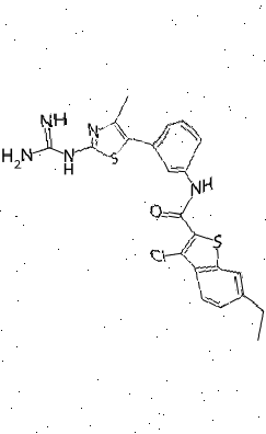 CCc1ccc2c(Cl)c(C(=O)Nc3cccc(-c4sc(NC(=N)N)nc4C)c3)sc2c1